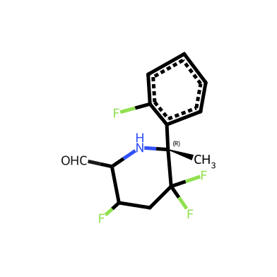 C[C@]1(c2ccccc2F)NC(C=O)C(F)CC1(F)F